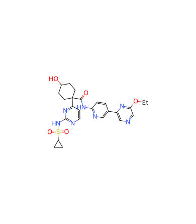 CCOc1cncc(-c2ccc(NC(=O)C3(c4ccnc(NS(=O)(=O)C5CC5)n4)CCC(O)CC3)nc2)n1